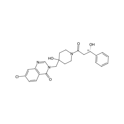 O=C(C[C@H](O)c1ccccc1)N1CCC(O)(Cn2cnc3cc(Cl)ccc3c2=O)CC1